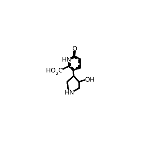 O=C(O)c1[nH]c(=O)ccc1C1CCNCC1O